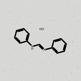 C(=Nc1ccccc1)Nc1ccccc1.Cl